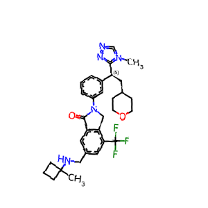 Cn1cnnc1[C@@H](CC1CCOCC1)c1cccc(N2Cc3c(cc(CNC4(C)CCC4)cc3C(F)(F)F)C2=O)c1